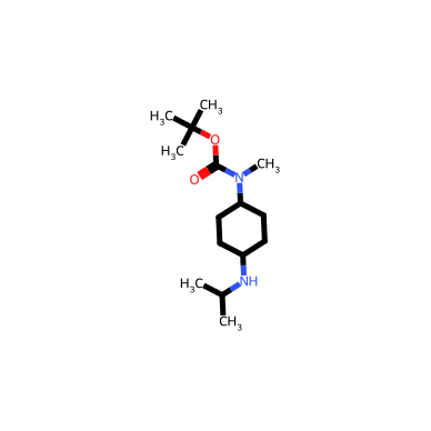 CC(C)NC1CCC(N(C)C(=O)OC(C)(C)C)CC1